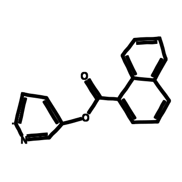 O=C(Oc1cc[c]nc1)c1cccc2ccccc12